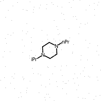 [CH2]CCN1CCN(C(C)C)CC1